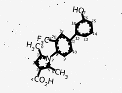 Cc1cc(C(=O)O)c(C)n1-c1ccc(-c2cccc(O)c2)cc1C(F)(F)F